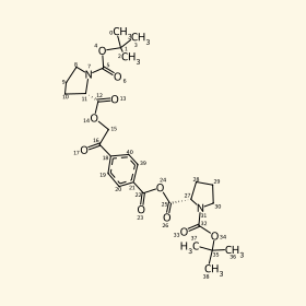 CC(C)(C)OC(=O)N1CCC[C@H]1C(=O)OCC(=O)c1ccc(C(=O)OC(=O)[C@@H]2CCCN2C(=O)OC(C)(C)C)cc1